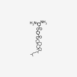 CC(C)CCCC(C)C1CCC2C3CCC4CC(OC(=O)c5ccc(OC(=O)c6cc(N)cc(N)c6)cc5)CCC4(C)C3CCC12C